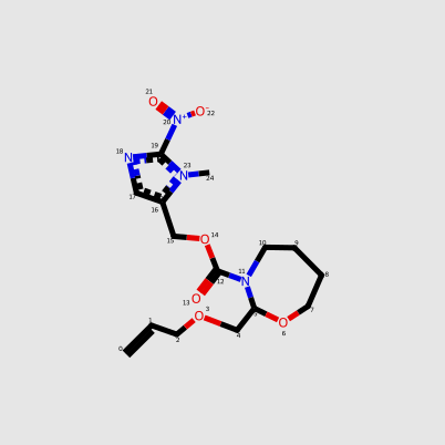 C=CCOCC1OCCCCN1C(=O)OCc1cnc([N+](=O)[O-])n1C